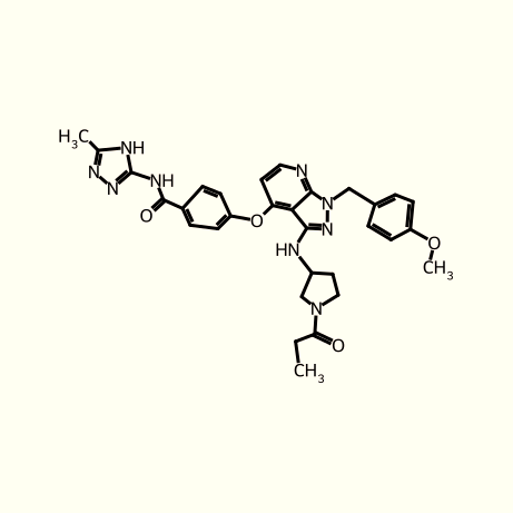 CCC(=O)N1CCC(Nc2nn(Cc3ccc(OC)cc3)c3nccc(Oc4ccc(C(=O)Nc5nnc(C)[nH]5)cc4)c23)C1